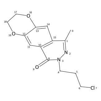 Cc1nn(CCCCl)c(=O)c2cc3c(cc12)OCCO3